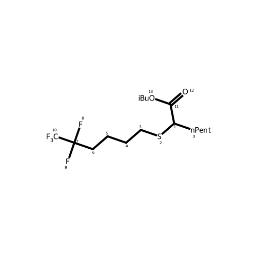 CCCCCC(SCCCCC(F)(F)C(F)(F)F)C(=O)OCC(C)C